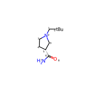 CC(C)(C)CN1CC[C@@H](C(N)=O)C1